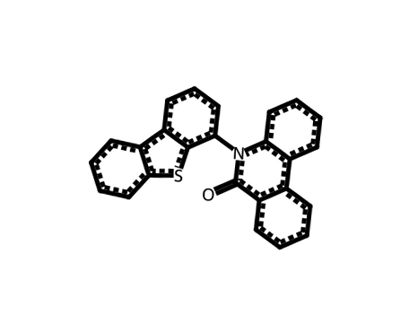 O=c1c2ccccc2c2ccccc2n1-c1cccc2c1sc1ccccc12